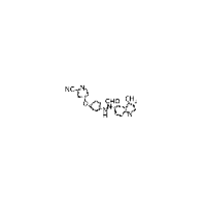 Cc1ccnc2ccc(N(C=O)Nc3ccc(Oc4ccnc(C#N)c4)cc3)cc12